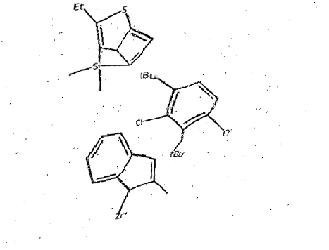 CC(C)(C)c1ccc([O-])c(C(C)(C)C)c1Cl.CC1=Cc2ccccc2[CH]1[Zr+].CCC1=C2C3C(=CC=C3[Si]2(C)C)S1